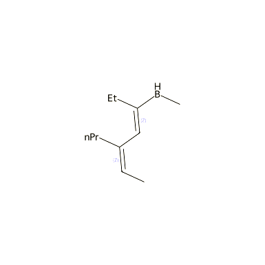 CB/C(=C/C(=C\C)CCC)CC